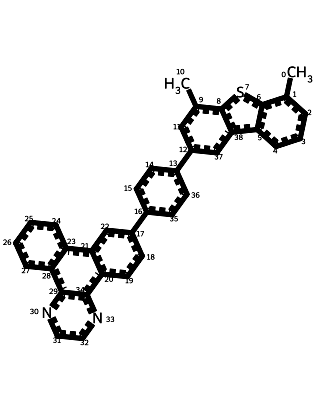 Cc1cccc2c1sc1c(C)cc(-c3ccc(-c4ccc5c(c4)c4ccccc4c4nccnc54)cc3)cc12